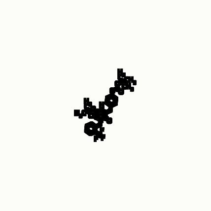 CC(C)(C)OC(=O)NC(Cc1ccc(OC(=O)OC(C)(C)C)cc1)C(=O)NCc1ccccc1C(F)(F)F